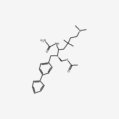 CC(=O)SC[C@@H](Cc1ccc(-c2ccccc2)cc1)C(CC(C)(C)CCN(C)C)NC(N)=O